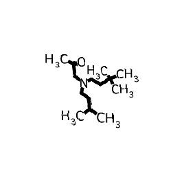 CC(=O)CN(CCC(C)C)CCC(C)(C)C